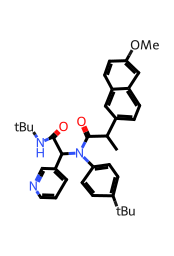 COc1ccc2cc(C(C)C(=O)N(c3ccc(C(C)(C)C)cc3)C(C(=O)NC(C)(C)C)c3cccnc3)ccc2c1